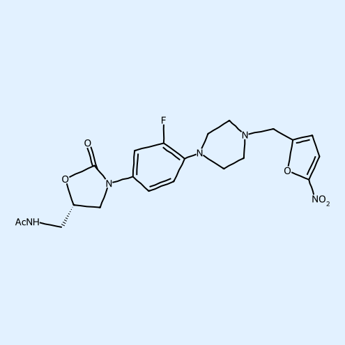 CC(=O)NC[C@H]1CN(c2ccc(N3CCN(Cc4ccc([N+](=O)[O-])o4)CC3)c(F)c2)C(=O)O1